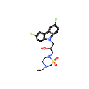 CCN1CCN(CC(O)Cn2c3ccc(F)cc3c3cc(F)ccc32)S(=O)(=O)C1